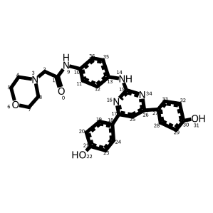 O=C(CN1CCOCC1)Nc1ccc(Nc2nc(-c3ccc(O)cc3)cc(-c3ccc(O)cc3)n2)cc1